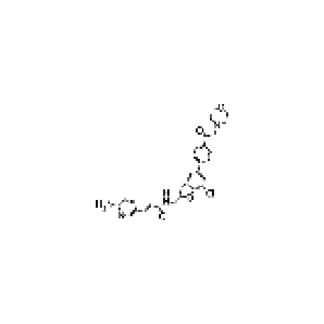 Nc1ccc(C=CC(=O)NCC2Cc3cc(-c4ccc(C(=O)CN5CCOCC5)cc4)cc(Cl)c3O2)cn1